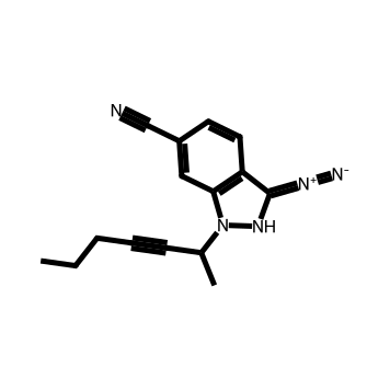 CCCC#CC(C)n1[nH]c(=[N+]=[N-])c2ccc(C#N)cc21